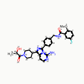 COc1ccc(F)cc1C(=O)NCc1ccc(-c2nc(C3CCN(C(=O)[C@@H](C)O)CC3)c3ccnc(N)n23)cc1